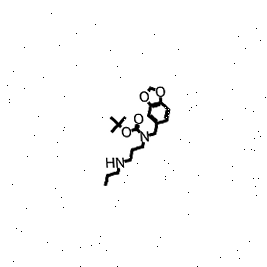 CCCNCCCN(Cc1ccc2c(c1)OCO2)C(=O)OC(C)(C)C